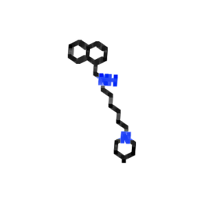 [CH]1CCN(CCCCCCNCc2cccc3ccccc23)CC1